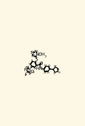 Cn1nnnc1Sc1ccc(S(=O)(=O)C(F)(F)F)cc1C(=O)Nc1ccc(C2CCCC2)cc1